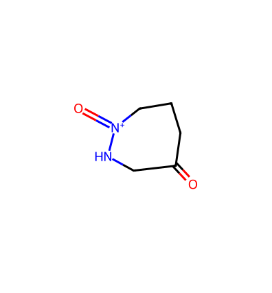 O=C1CCC[N+](=O)NC1